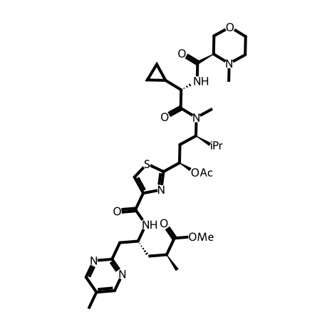 COC(=O)[C@@H](C)C[C@H](Cc1ncc(C)cn1)NC(=O)c1csc([C@@H](C[C@H](C(C)C)N(C)C(=O)[C@@H](NC(=O)[C@H]2COCCN2C)C2CC2)OC(C)=O)n1